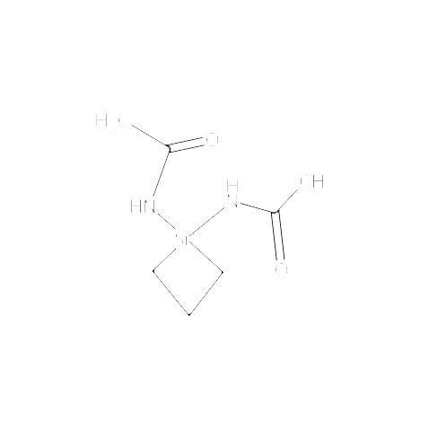 CC(=O)N[Si]1(NC(C)=O)CCC1